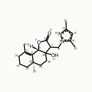 CC1=C2[C@@H]3OC(=O)C(Cn4nc(C)cc4C)C3(O)CC[C@@]2(C)CCC1